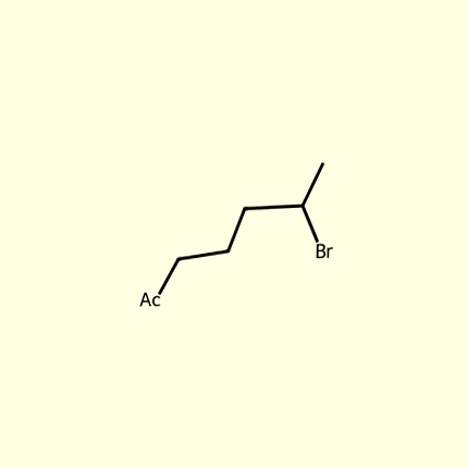 CC(=O)CCCC(C)Br